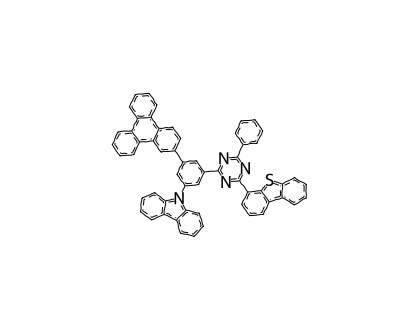 c1ccc(-c2nc(-c3cc(-c4ccc5c6ccccc6c6ccccc6c5c4)cc(-n4c5ccccc5c5ccccc54)c3)nc(-c3cccc4c3sc3ccccc34)n2)cc1